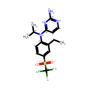 CCc1cc(S(=O)(=O)C(F)(F)F)ccc1N(c1ccnc(N)n1)C(C)C